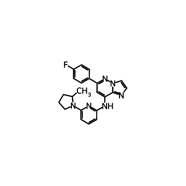 CC1CCCN1c1cccc(Nc2cc(-c3ccc(F)cc3)nn3ccnc23)n1